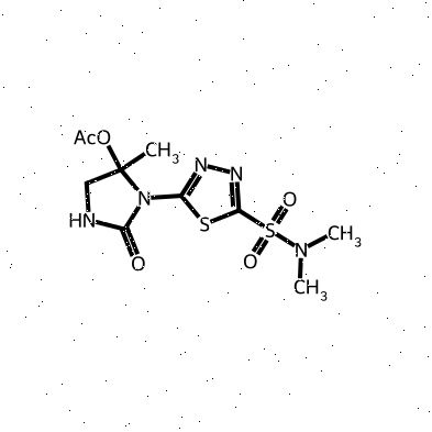 CC(=O)OC1(C)CNC(=O)N1c1nnc(S(=O)(=O)N(C)C)s1